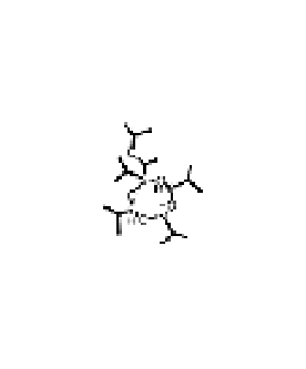 CC(C)OC(C)[Si]1(C(C)C)O[SiH](C(C)C)O[SiH](C(C)C)O[SiH](C(C)C)O1